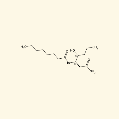 CCCCCCCC(=O)N[C@H](CC(N)=O)[C@H](O)CCC